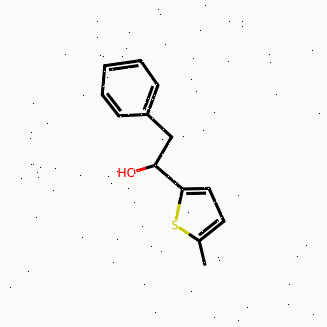 Cc1ccc(C(O)Cc2ccccc2)s1